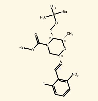 C[C@@H]1O[C@H](/C=C/c2c(F)cccc2[N+](=O)[O-])CN(C(=O)OC(C)(C)C)[C@@H]1CO[Si](C)(C)C(C)(C)C